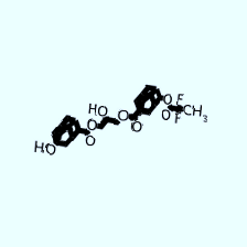 CC(F)(F)C(=O)OC1C2CC3CC1CC(C(=O)OCC(O)COC(=O)C1C4CC5CC1CC(O)(C5)C4)(C3)C2